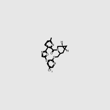 CCc1cnc(-c2ccc(C)nc2C(=O)N2C[C@@H]3C[C@@H]3CC2COc2ccc(C(F)(F)F)cn2)o1